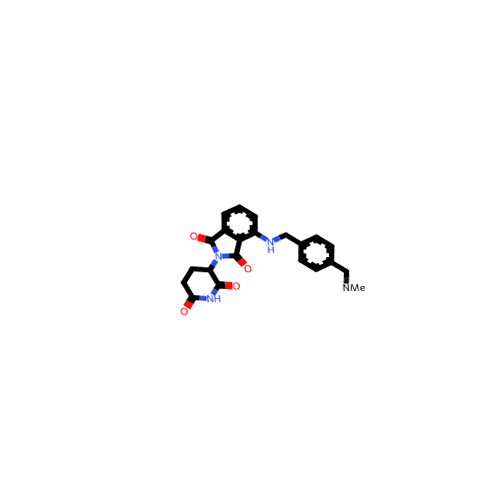 CNCc1ccc(CNc2cccc3c2C(=O)N(C2CCC(=O)NC2=O)C3=O)cc1